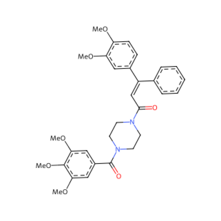 COc1ccc(C(=CC(=O)N2CCN(C(=O)c3cc(OC)c(OC)c(OC)c3)CC2)c2ccccc2)cc1OC